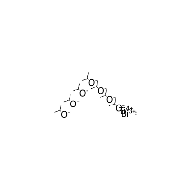 CC(C)[O-].CC(C)[O-].CC(C)[O-].CC(C)[O-].CC(C)[O-].CC(C)[O-].CC(C)[O-].[Bi+3].[Ti+4]